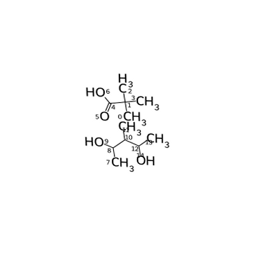 CC(C)(C)C(=O)O.CC(O)C(C)C(C)O